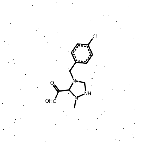 CN1NCN(Cc2ccc(Cl)cc2)C1C(=O)C=O